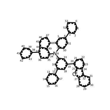 c1ccc(-c2ccc(N(c3cc(-c4ccccc4)cc(-c4cccc5c4oc4ccccc45)c3)c3ccc(-c4ccccc4)c4ccccc34)cc2)cc1